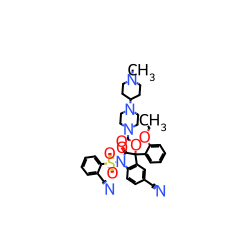 CCOc1ccccc1C1(OC(=O)N2CCN(C3CCN(C)CC3)CC2)C(=O)N(S(=O)(=O)c2ccccc2C#N)c2ccc(C#N)cc21